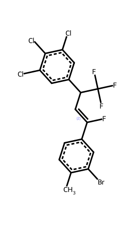 Cc1ccc(/C(F)=C/C(c2cc(Cl)c(Cl)c(Cl)c2)C(F)(F)F)cc1Br